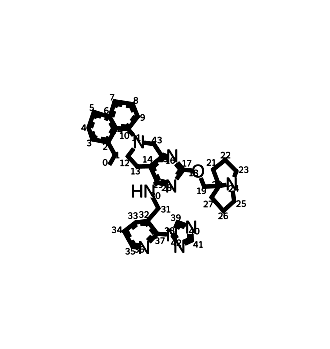 CCc1cccc2cccc(N3CCc4c(nc(OCC56CCCN5CCC6)nc4NCc4cccnc4-n4cncn4)C3)c12